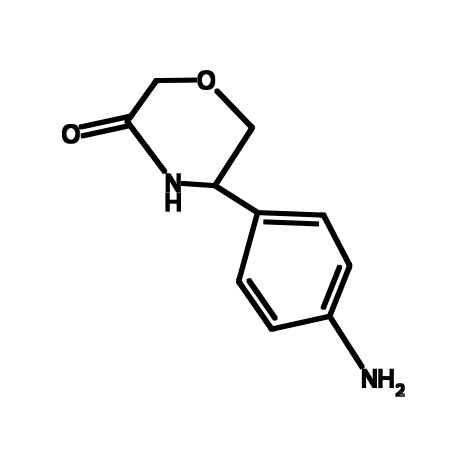 Nc1ccc(C2COCC(=O)N2)cc1